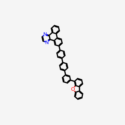 c1cc(-c2ccc(-c3ccc(-c4ccc5c6ccccc6c6nccnc6c5c4)cc3)cc2)cc(-c2cccc3c2oc2ccccc23)c1